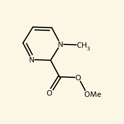 COOC(=O)C1N=CC=CN1C